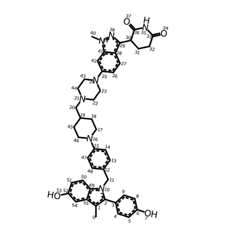 Cc1c(-c2ccc(O)cc2)n(Cc2ccc(N3CCC(CN4CCN(c5ccc6c(C7CCC(=O)NC7=O)nn(C)c6c5)CC4)CC3)cc2)c2ccc(O)cc12